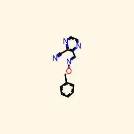 N#Cc1nccnc1C=NOCc1ccccc1